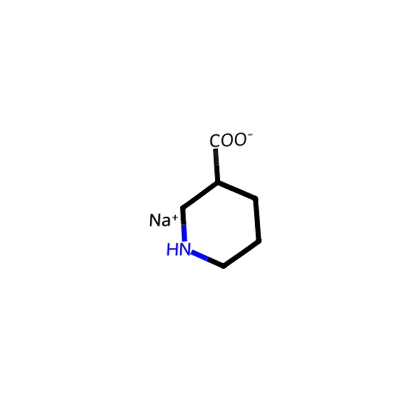 O=C([O-])C1CCCNC1.[Na+]